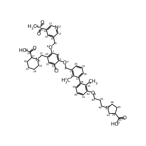 Cc1c(COc2cc(OCc3cncc(S(C)(=O)=O)c3)c(CN3CCCCC3C(=O)O)cc2Cl)cccc1-c1cccc(OCCCN2CCC(C(=O)O)C2)c1C